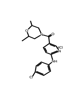 CC1CN(C(=O)c2ccc(Nc3ccc(Cl)cc3)nc2)CC(C)O1.Cl